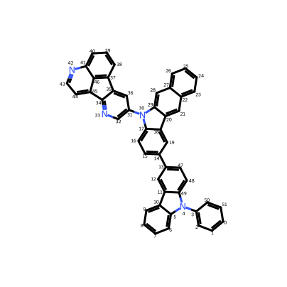 c1ccc(-n2c3ccccc3c3cc(-c4ccc5c(c4)c4cc6ccccc6cc4n5-c4cnc5c(c4)-c4cccc6nccc-5c46)ccc32)cc1